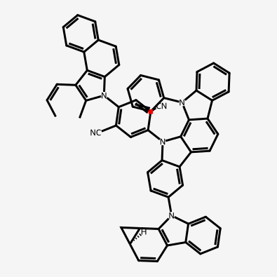 C/C=C\c1c(C)n(-c2cc(C#N)c(-n3c4ccc(-n5c6c(c7ccccc75)C=C[C@H]5CC65)cc4c4ccc5c6ccccc6n(-c6ccccc6)c5c43)cc2C#N)c2ccc3ccccc3c12